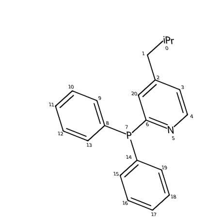 CC(C)Cc1ccnc(P(c2ccccc2)c2ccccc2)c1